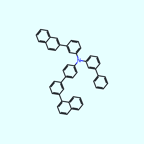 c1ccc(-c2cccc(N(c3ccc(-c4cccc(-c5cccc6ccccc56)c4)cc3)c3cccc(-c4ccc5ccccc5c4)c3)c2)cc1